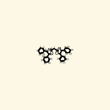 c1ccc(C2N=C(CC3=NC(c4ccccc4)C(c4ccccc4)O3)OC2c2ccccc2)cc1